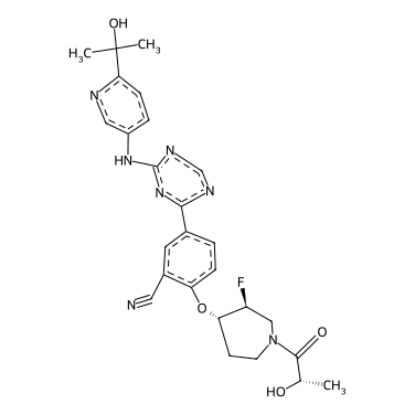 C[C@H](O)C(=O)N1CC[C@H](Oc2ccc(-c3ncnc(Nc4ccc(C(C)(C)O)nc4)n3)cc2C#N)[C@@H](F)C1